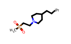 CC(C)CCC1CCN(CCS(C)(=O)=O)CC1